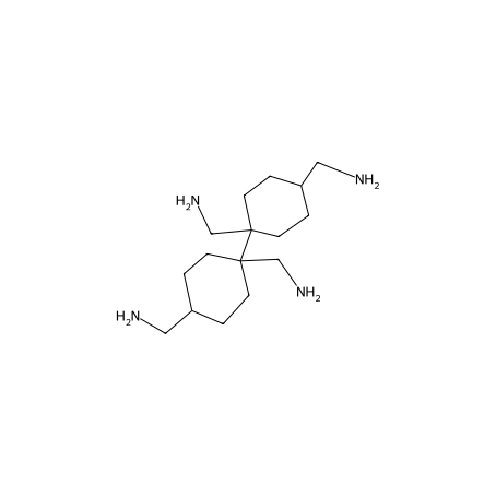 NCC1CCC(CN)(C2(CN)CCC(CN)CC2)CC1